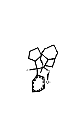 CN1CC2CCCC(C1)C2C(OO)C(O)(c1ccccc1)C1CCCC1